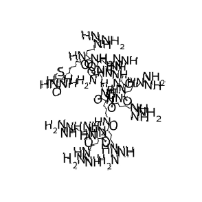 N=C(N)NCCCC(N)C(=O)NC(CCCNC(=N)N)C(=O)NC(CCCNC(=N)N)C(=O)NCCCCC(NC(=O)C(CCCNC(=N)N)NC(=O)C(CCCNC(=N)N)NC(=O)C(N)CCCNC(=N)N)C(=O)NCCCCC(NC(=O)C(CCCNC(=N)N)NC(=O)C(CCCNC(=N)N)NC(=O)CCCC[C@@H]1SC[C@@H]2NC(=O)N[C@@H]21)C(N)=O